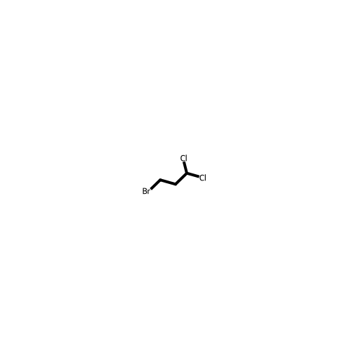 ClC(Cl)CCBr